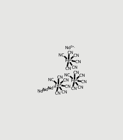 N#[C][Fe-4]([C]#N)([C]#N)([C]#N)([C]#N)[C]#N.N#[C][Fe-4]([C]#N)([C]#N)([C]#N)([C]#N)[C]#N.N#[C][Fe-4]([C]#N)([C]#N)([C]#N)([C]#N)[C]#N.[Nd+3].[Nd+3].[Nd+3].[Nd+3]